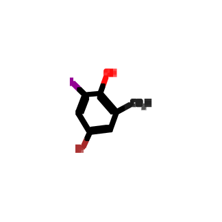 O=C(O)c1cc(Br)cc(I)c1O